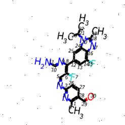 Cc1nc(\N=C/C(F)=C(\N=C\N)c2cc(F)c3nc(C)n(C(C)C)c3c2)ccc1C=O